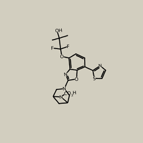 CC(C)(O)C(F)(F)Oc1ccc(-c2nccs2)c2oc(N3CC4CC(C3)N4C(=O)O)nc12